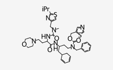 CC(C)c1nc(CN(C)C(=O)NC(CCN2CCOCC2)C(=O)NC(CCN(Cc2ccccc2)C(=O)OCc2cncs2)CC2C=CC=CC2)cs1